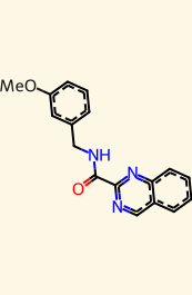 COc1cccc(CNC(=O)c2ncc3ccccc3n2)c1